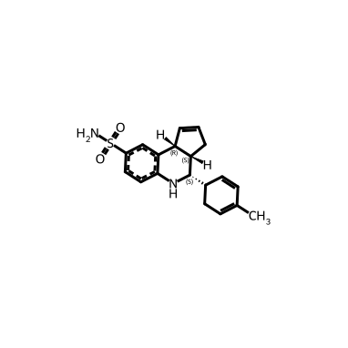 CC1=CCC([C@@H]2Nc3ccc(S(N)(=O)=O)cc3[C@@H]3C=CC[C@@H]32)C=C1